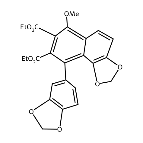 CCOC(=O)c1c(C(=O)OCC)c(-c2ccc3c(c2)OCO3)c2c3c(ccc2c1OC)OCO3